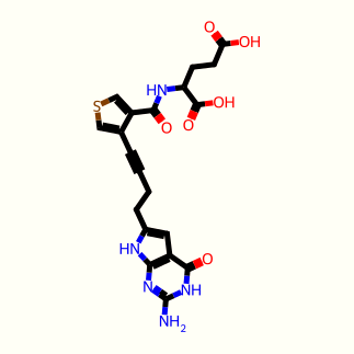 Nc1nc2[nH]c(CCC#Cc3cscc3C(=O)NC(CCC(=O)O)C(=O)O)cc2c(=O)[nH]1